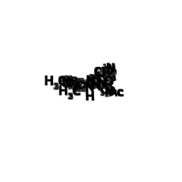 CC(=O)N1CCCC(n2c(=O)c(-c3ccncc3)c(C)c3cnc(Nc4ccc(N5CCN(C)CC5)c(C)c4)nc32)C1